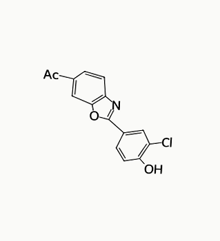 CC(=O)c1ccc2nc(-c3ccc(O)c(Cl)c3)oc2c1